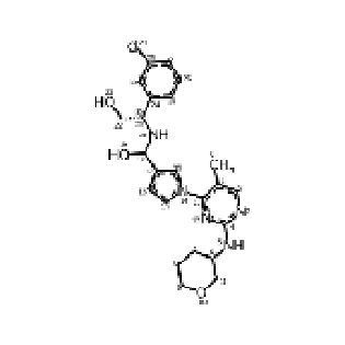 Cc1cnc(NC2CCCOC2)nc1-n1ccc(C(O)N[C@H](CO)c2cccc(Cl)c2)c1